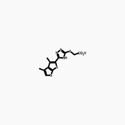 Cc1csc2sc(-c3nnc(SCC(=O)O)[nH]3)c(C)c12